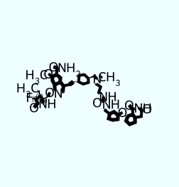 CC[C@@H]1[C@H](F)C(=O)N[C@@H]1COc1ncc(C#C[C@H]2CC[C@H](CN(C)CCCNC(=O)NCc3cccc(Oc4cccc5c4C(=O)NC(=O)C5)c3)CC2)c2cc(C(N)=O)c(OC)cc12